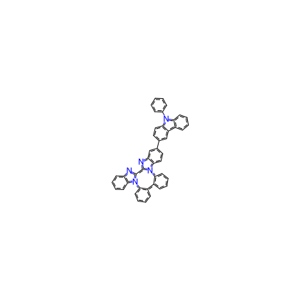 c1ccc(-n2c3ccccc3c3cc(-c4ccc5c(c4)nc4c6nc7ccccc7n6c6ccccc6c6ccccc6n54)ccc32)cc1